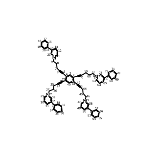 C(#Cc1cc(C#CCCC[n+]2cccc(-c3ccccc3)c2)c(C#CCCC[n+]2cccc(-c3ccccc3)c2)cc1C#CCCC[n+]1cccc(-c2ccccc2)c1)CCC[n+]1cccc(-c2ccccc2)c1